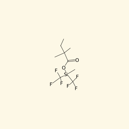 CCC(C)(C)C(=O)O[Si](C)(C(F)(F)F)C(F)(F)F